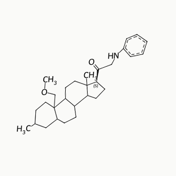 COCC12CCC(C)CC1CCC1C2CCC2(C)C1CC[C@@H]2C(=O)CNc1ccccc1